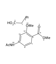 CC(C)CC(=O)O.COC(=O)c1ccc(NC(C)=O)cc1OC